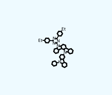 CCc1ccc(-c2nc(-c3ccc(CC)cc3)nc(-n3c4ccccc4c4c3ccc3c5ccccc5n(-c5ccc6c(c5)c5ccccc5n6-c5ccccc5)c34)n2)cc1